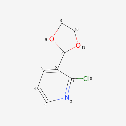 Clc1ncccc1C1OCCO1